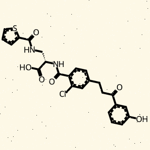 O=C(CCc1ccc(C(=O)N[C@@H](CNC(=O)c2cccs2)C(=O)O)c(Cl)c1)c1cccc(O)c1